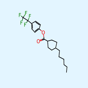 CCCCCCC1CCC(C(=O)Oc2ccc(C(F)(F)C(F)(F)F)cc2)CC1